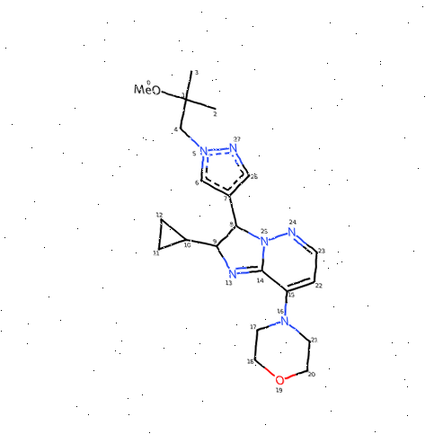 COC(C)(C)Cn1cc(C2C(C3CC3)N=C3C(N4CCOCC4)=CC=NN32)cn1